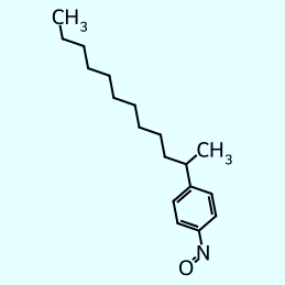 CCCCCCCCCCC(C)c1ccc(N=O)cc1